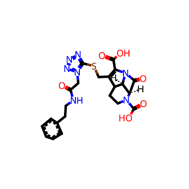 O=C(Cn1nnnc1SCC1=C(C(=O)O)N2C(=O)[C@@H]3[C@H]2C1CCN3C(=O)O)NCCc1ccccc1